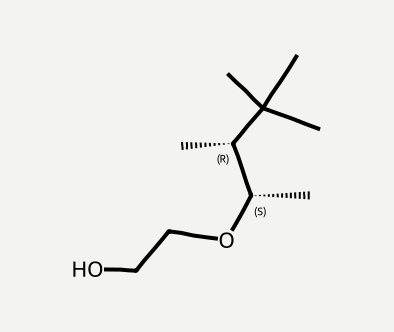 C[C@H](OCCO)[C@H](C)C(C)(C)C